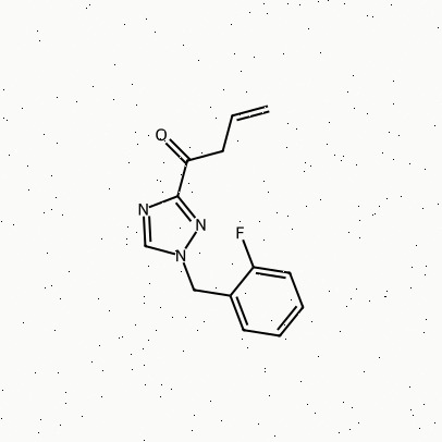 C=CCC(=O)c1ncn(Cc2ccccc2F)n1